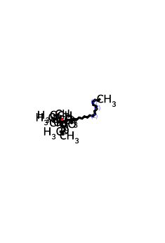 CC/C=C\C/C=C\C/C=C\CCCCCCCC(=O)Oc1cc(OC(C)C)cc(O[Si](C(C)C)(C(C)C)C(C)C)c1